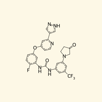 O=C1CCN(c2cc(NC(=O)Nc3cc(Oc4ccnc(-c5cn[nH]c5)c4)ccc3F)cc(C(F)(F)F)c2)C1